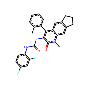 Cc1ccccc1-c1c(NC(=O)Nc2ccc(F)cc2F)c(=O)n(C)c2cc3c(cc12)CCC3